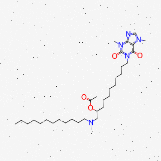 CCCCCCCCCCCCN(C)CC(CCCCCCCCCn1c(=O)c2c(ncn2C)n(C)c1=O)OC(C)=O